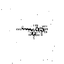 COC(=O)CCCCCCCCO[C@@H]1O[C@H](CO)[C@H](O)[C@H](O[C@H]2O[C@H](CO)[C@H](O)[C@H](O)[C@H]2O)[C@H]1O[C@@H]1O[C@@H](C)[C@@H](O)[C@@H](O)[C@@H]1O